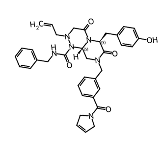 C=CCN1CC(=O)N2[C@@H](Cc3ccc(O)cc3)C(=O)N(Cc3cccc(C(=O)N4CC=CC4)c3)C[C@@H]2N1C(=O)NCc1ccccc1